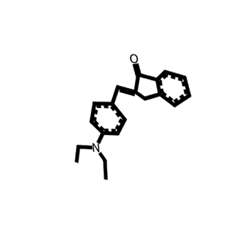 CCN(CC)c1ccc(/C=C2\Cc3ccccc3C2=O)cc1